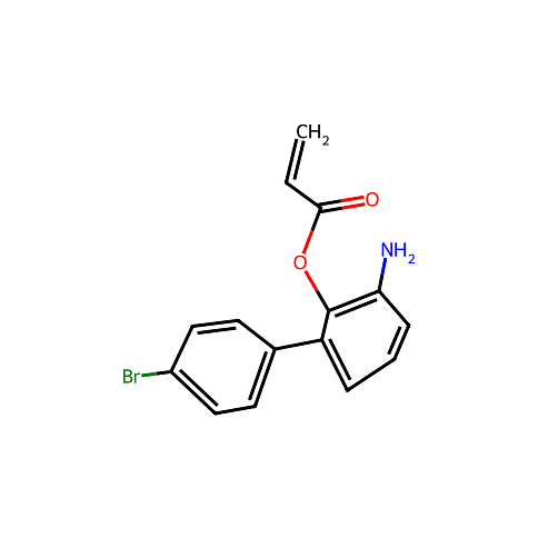 C=CC(=O)Oc1c(N)cccc1-c1ccc(Br)cc1